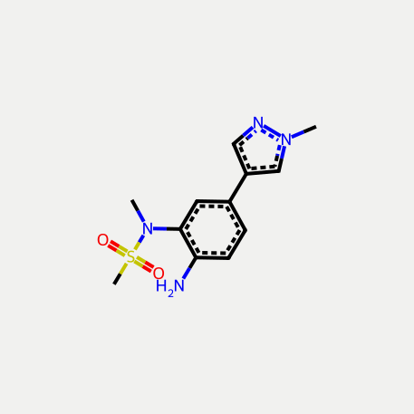 CN(c1cc(-c2cnn(C)c2)ccc1N)S(C)(=O)=O